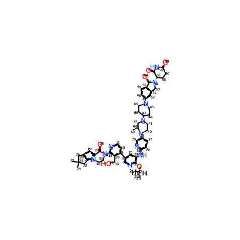 [2H]C([2H])([2H])Oc1ncc(-c2ccnc(N3CCn4c(cc5c4CC(C)(C)C5)C3=O)c2CO)cc1Nc1ccc(N2CCN(C3CCN(c4ccc5c(c4)CN([C@H]4CCC(=O)NC4=O)C5=O)CC3)C[C@@H]2C)cn1